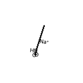 CCCCCCCCCCCCCCCCCCCCCCCCNCCC(=O)[O-].[Na+]